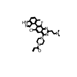 C=CC(=O)N1CCN(c2nc(CCN(C)C)nc3c(F)c(-c4c(C)ccc5[nH]ncc45)c(Cl)cc23)CC1